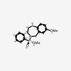 COc1ccc2c(c1)CN([P@](=O)(OC)c1ccccc1)CCS2